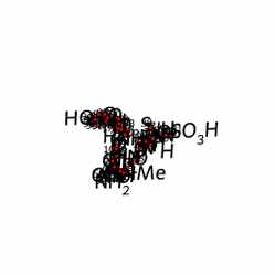 CN[C@H](CCCCNC(=O)COC1CCCCCc2c1nnn2CCN(CC(=O)NCCS(=O)(=O)O)CC(=O)NCCS(=O)(=O)O)C(=O)N[C@H](C(=O)N[C@@H](CCCNC(N)=O)C(=O)Nc1ccc(COC(=O)Nc2ccc3c(c2)[C@@]2(C)CCC[C@](C)(C(=O)NC(=O)[C@@]4(C)CCC[C@]5(C)c6cc(O)ccc6CC[C@@H]45)[C@@H]2CC3)cc1)C(C)C